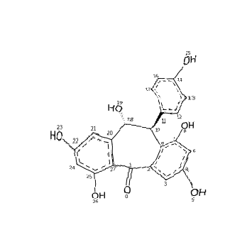 O=C1c2cc(O)cc(O)c2[C@H](c2ccc(O)cc2)[C@@H](O)c2cc(O)cc(O)c21